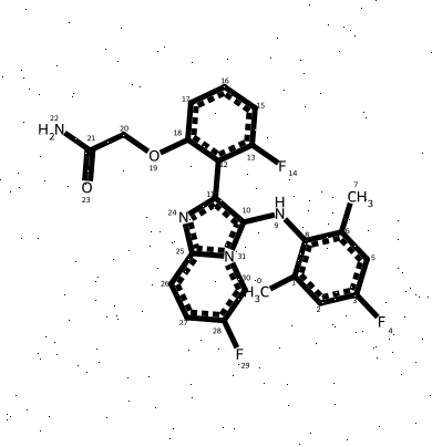 Cc1cc(F)cc(C)c1Nc1c(-c2c(F)cccc2OCC(N)=O)nc2ccc(F)cn12